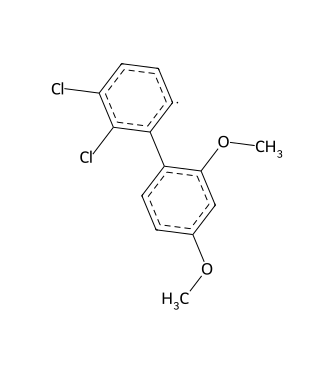 COc1ccc(-c2[c]ccc(Cl)c2Cl)c(OC)c1